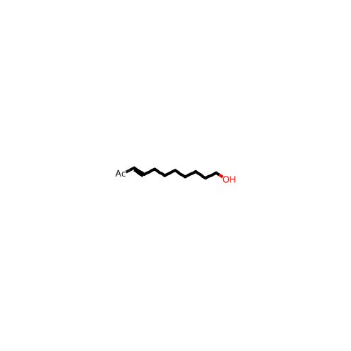 CC(=O)/C=C/CCCCCCCO